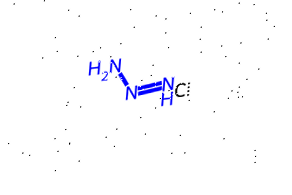 N=NN.[C]